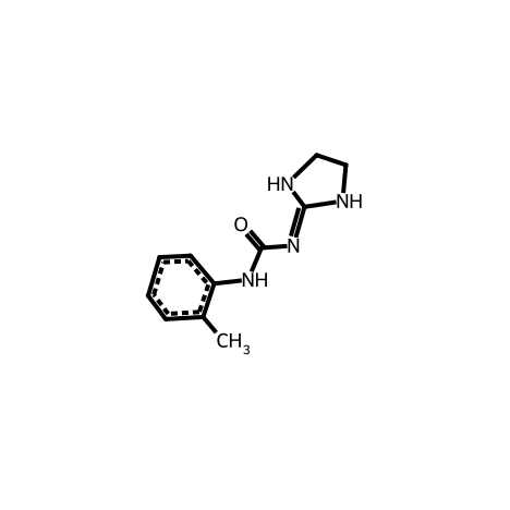 Cc1ccccc1NC(=O)N=C1NCCN1